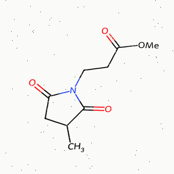 COC(=O)CCN1C(=O)CC(C)C1=O